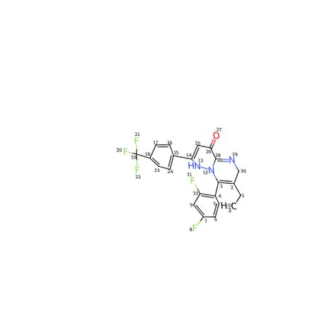 CCC1=C(c2ccc(F)cc2F)N2NC(c3ccc(C(F)(F)F)cc3)=CC(=O)C2=NC1